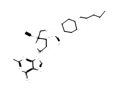 C#C[C@]1(CO)O[C@@H](n2cnc3c(N)nc(F)nc32)C[C@@H]1OC(=O)[C@H]1CC[C@H](CCCCC)CC1